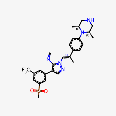 C=Nc1c(-c2cc(C(F)(F)F)cc(S(C)(=O)=O)c2)cnn1/C=C(\C)c1ccc(N2[C@H](C)CNC[C@@H]2C)cc1